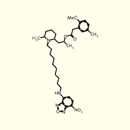 COc1ccc(C)cc1CC(=O)OC(C)CC1CCCC(C)N1CCCCCCCCCCNc1ccc([N+](=O)[O-])c2nonc12